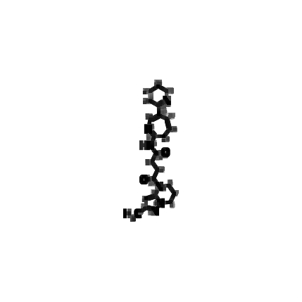 Cc1cc2n(n1)CCCN2C(=O)CCC(=O)NC1=NC=C(C2=NCCC=C2)C=CC1